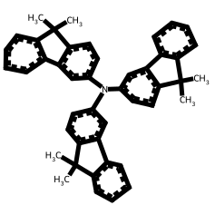 CC1(C)c2ccccc2-c2cc(N(c3ccc4c(c3)-c3ccccc3C4(C)C)c3ccc4c(c3)-c3ccccc3C4(C)C)ccc21